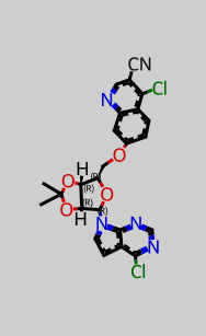 CC1(C)O[C@@H]2[C@H](O1)[C@@H](COc1ccc3c(Cl)c(C#N)cnc3c1)O[C@H]2n1ccc2c(Cl)ncnc21